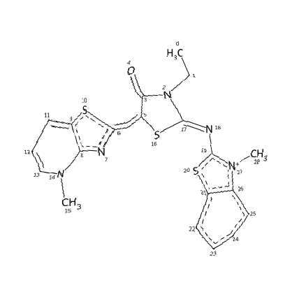 CCN1C(=O)/C(=c2/nc3c(s2)=CC=CN3C)S/C1=N\c1sc2ccccc2[n+]1C